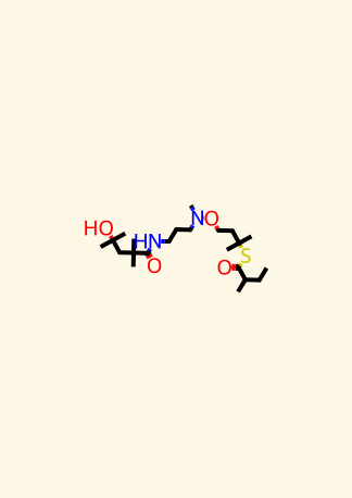 CCC(C)C(=O)SC(C)(C)CCON(C)CCCNC(=O)C(C)(C)CC(C)(C)O